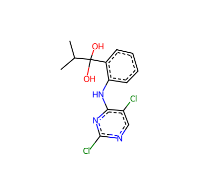 CC(C)C(O)(O)c1ccccc1Nc1nc(Cl)ncc1Cl